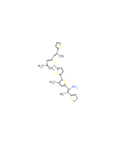 C=C(C)/C=C(/C=C(\C#N)c1cccs1)SCc1ccc(-c2sc(/C(N)=C(\C#N)C3=CCCS3)cc2C)s1